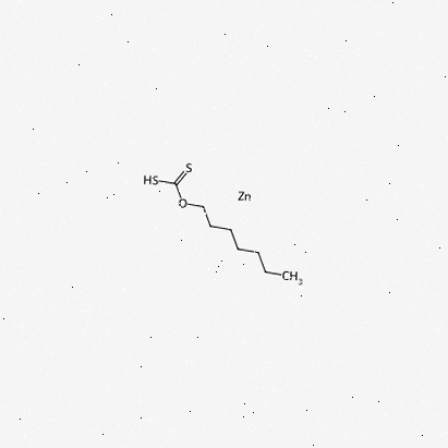 CCCCCCCOC(=S)S.[Zn]